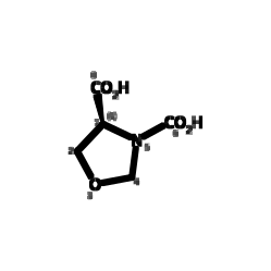 O=C(O)[C@@H]1COCN1C(=O)O